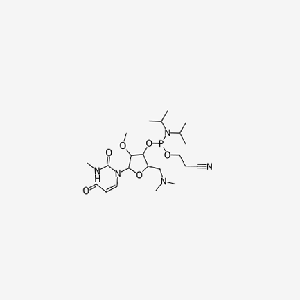 CNC(=O)N(/C=C\C=O)C1OC(CN(C)C)C(OP(OCCC#N)N(C(C)C)C(C)C)C1OC